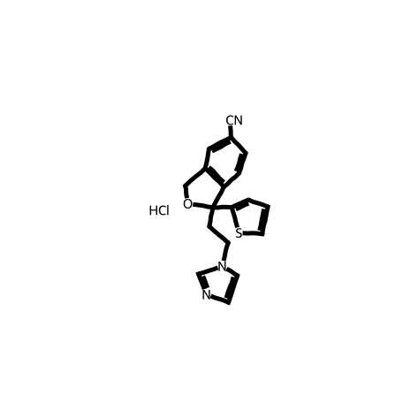 Cl.N#Cc1ccc2c(c1)COC2(CCn1ccnc1)c1cccs1